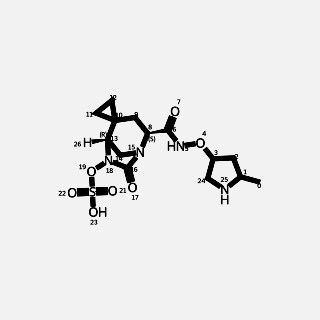 CC1CC(ONC(=O)[C@@H]2CC3(CC3)[C@@H]3CN2C(=O)N3OS(=O)(=O)O)CN1